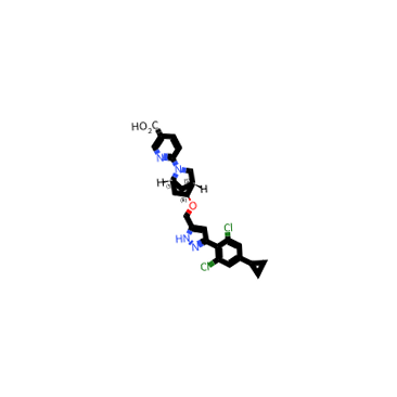 O=C(O)c1ccc(N2C[C@@H]3C[C@H]2C[C@H]3OCc2cc(-c3c(Cl)cc(C4CC4)cc3Cl)n[nH]2)nc1